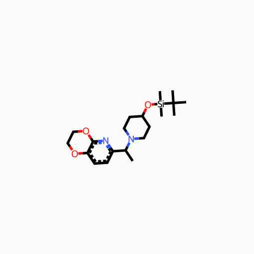 CC(c1ccc2c(n1)OCCO2)N1CCC(O[Si](C)(C)C(C)(C)C)CC1